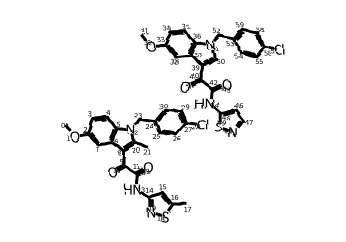 COc1ccc2c(c1)c(C(=O)C(=O)Nc1cc(C)sn1)c(C)n2Cc1ccc(Cl)cc1.COc1ccc2c(c1)c(C(=O)C(=O)Nc1ccns1)cn2Cc1ccc(Cl)cc1